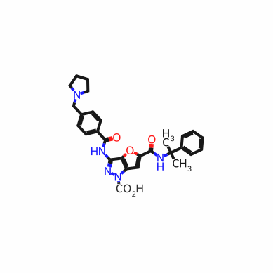 CC(C)(NC(=O)c1cc2c(o1)c(NC(=O)c1ccc(CN3CCCC3)cc1)nn2C(=O)O)c1ccccc1